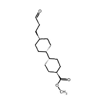 COC(=O)[C@H]1CC[C@H]([C@H]2CC[C@H](CCC=O)CC2)CC1